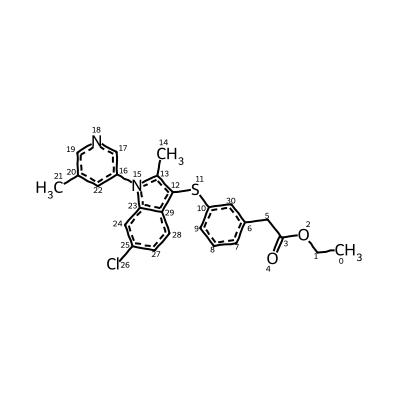 CCOC(=O)Cc1cccc(Sc2c(C)n(-c3cncc(C)c3)c3cc(Cl)ccc23)c1